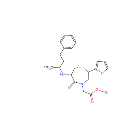 CCOC(=O)C(CCc1ccccc1)NC1CSC(c2ccco2)CN(CC(=O)OC(C)(C)C)C1=O